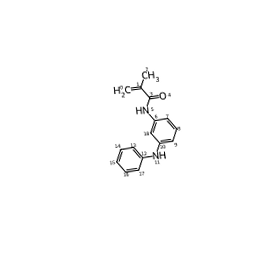 C=C(C)C(=O)Nc1cccc(Nc2ccccc2)c1